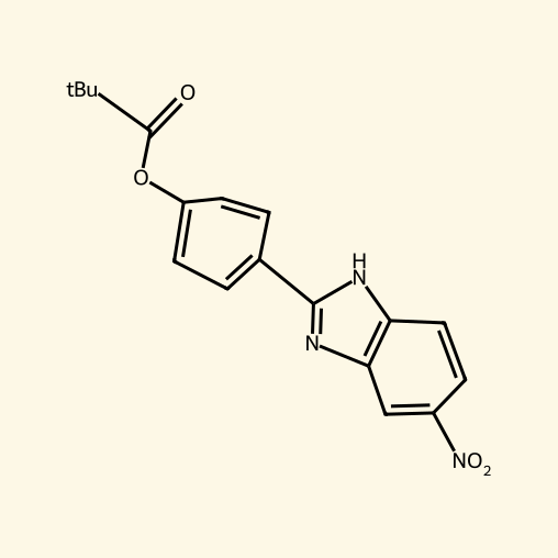 CC(C)(C)C(=O)Oc1ccc(-c2nc3cc([N+](=O)[O-])ccc3[nH]2)cc1